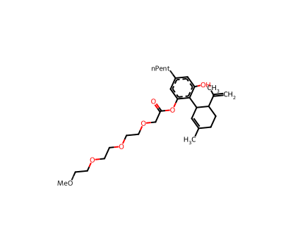 C=C(C)C1CCC(C)=CC1c1c(O)cc(CCCCC)cc1OC(=O)COCCOCCOCCOC